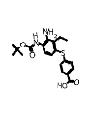 CCc1c(Sc2ccc(C(=O)O)cc2)ccc(NC(=O)OC(C)(C)C)c1N